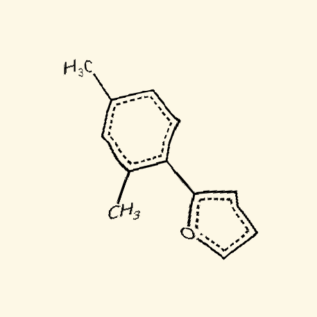 Cc1ccc(-c2ccco2)c(C)c1